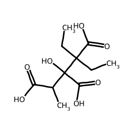 CCC(CC)(C(=O)O)C(O)(C(=O)O)C(C)C(=O)O